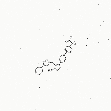 Cc1noc(-c2ccc(-c3ccc(C4(C(=O)O)CC4)cc3)cc2)c1Cn1cc(-c2ccccc2)nn1